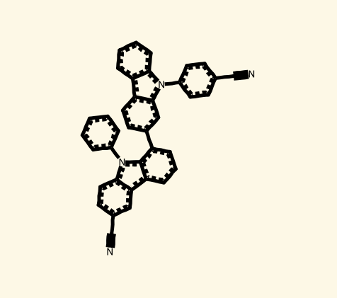 N#Cc1ccc(-n2c3ccccc3c3ccc(-c4cccc5c6cc(C#N)ccc6n(-c6ccccc6)c45)cc32)cc1